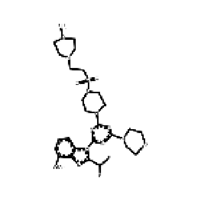 COc1cccc2c1nc(C(F)F)n2-c1nc(N2CCOCC2)nc(N2CCN(S(=O)(=O)CCN3CCN(C)CC3)CC2)n1